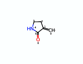 [CH]=C1CCNC1=O